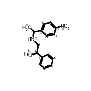 CC(NCC(O)c1ccccc1)c1ccc([N+](=O)[O-])cc1